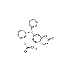 CC(=O)[O-].O=c1ccc2ccc([S+](c3ccccc3)c3ccccc3)cc2o1